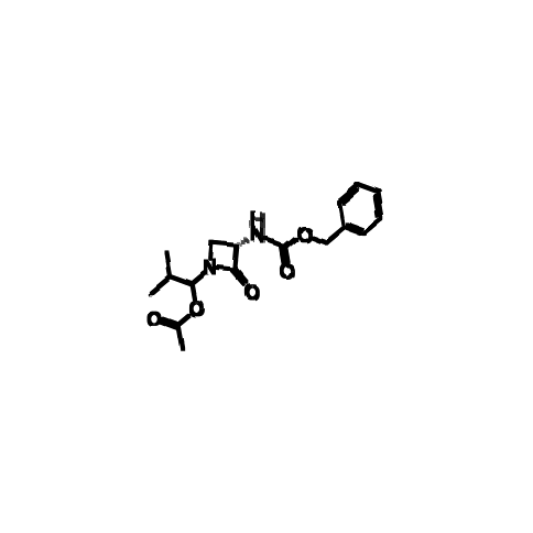 CC(=O)OC(C(C)C)N1C[C@H](NC(=O)OCc2ccccc2)C1=O